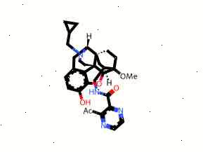 COC12CC[C@@]3(C[C@@H]1CNC(=O)c1nccnc1C(C)=O)[C@H]1Cc4ccc(O)c5c4[C@@]3(CCN1CC1CC1)C2O5